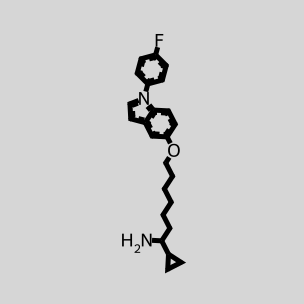 NC(CCCCCCOc1ccc2c(ccn2-c2ccc(F)cc2)c1)C1CC1